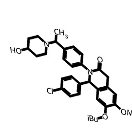 CCC(C)Oc1cc2c(cc1OC)CC(=O)N(c1ccc(C(C)N3CCC(O)CC3)cc1)C2c1ccc(Cl)cc1